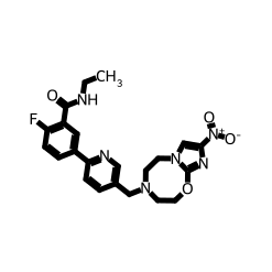 CCNC(=O)c1cc(-c2ccc(CN3CCOc4nc([N+](=O)[O-])cn4CC3)cn2)ccc1F